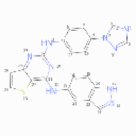 c1ncn(-c2ccc(Nc3nc(Nc4ccc5[nH]ncc5c4)c4sccc4n3)cc2)n1